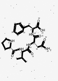 CC(C)[C@H](NC(=O)[C@@H]1CCCN1)C(=O)N[C@@H](CC(N)=O)C(=O)N[C@@H](Cc1ccccc1)C(=O)O